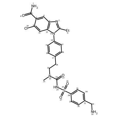 CCc1nc2cc(C(N)=O)c(Cl)cc2n1-c1ccc(CCN(C)C(=O)NS(=O)(=O)c2ccc(CN)cc2)cc1